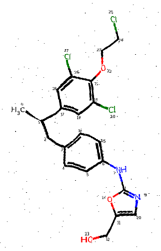 C[C@H](Cc1ccc(Nc2ncc(CO)o2)cc1)c1cc(Cl)c(OCCCl)c(Cl)c1